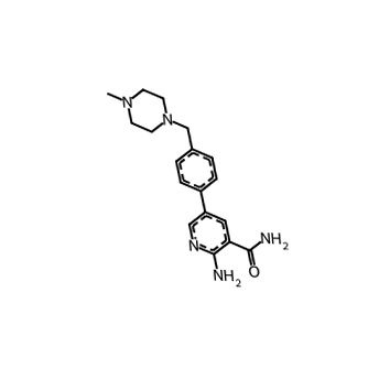 CN1CCN(Cc2ccc(-c3cnc(N)c(C(N)=O)c3)cc2)CC1